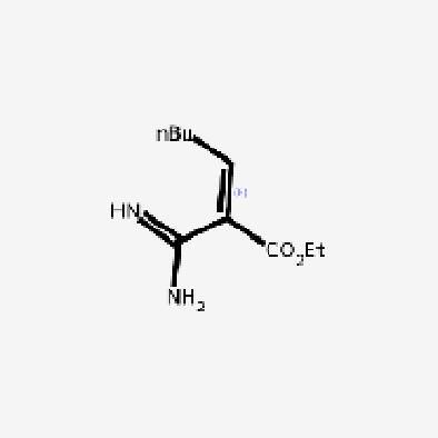 CCCC/C=C(\C(=N)N)C(=O)OCC